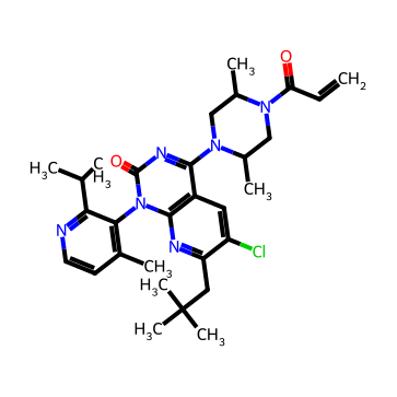 C=CC(=O)N1CC(C)N(c2nc(=O)n(-c3c(C)ccnc3C(C)C)c3nc(CC(C)(C)C)c(Cl)cc23)CC1C